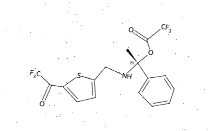 C[C@@](NCc1ccc(C(=O)C(F)(F)F)s1)(OC(=O)C(F)(F)F)c1ccccc1